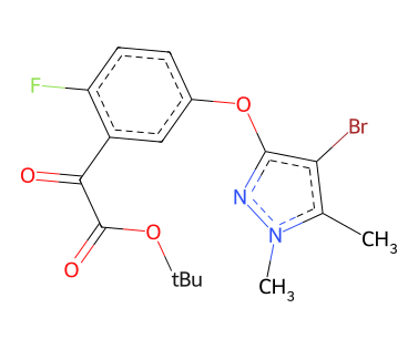 Cc1c(Br)c(Oc2ccc(F)c(C(=O)C(=O)OC(C)(C)C)c2)nn1C